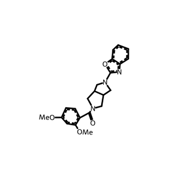 COc1ccc(C(=O)N2CC3CN(c4nc5ccccc5o4)CC3C2)c(OC)c1